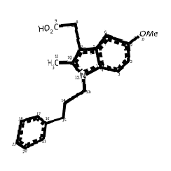 COc1ccc2c(c1)c(CC(=O)O)c(C)n2CCCc1ccccc1